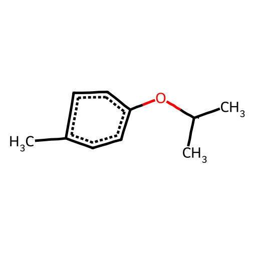 C[C](C)Oc1ccc(C)cc1